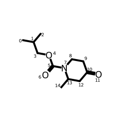 CC(C)COC(=O)N1CCC(=O)CC1C